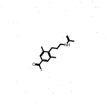 C=C(C)NCCCc1c(C)cc(C(=O)I)cc1C